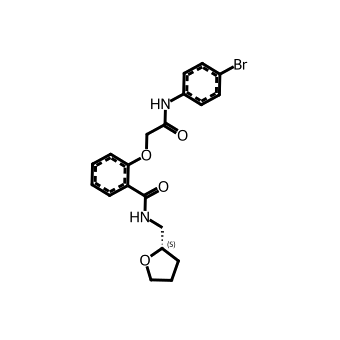 O=C(COc1ccccc1C(=O)NC[C@@H]1CCCO1)Nc1ccc(Br)cc1